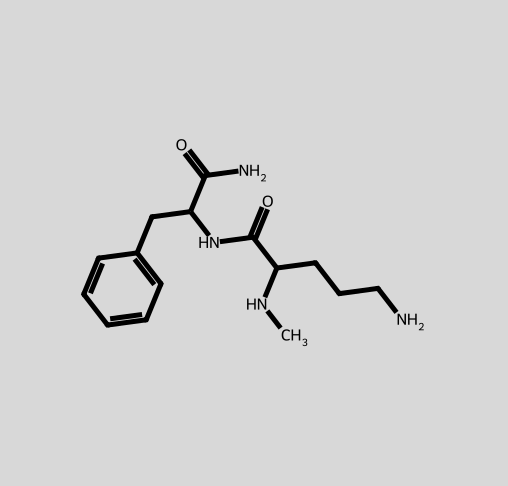 CNC(CCCN)C(=O)NC(Cc1ccccc1)C(N)=O